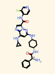 N[C@H](C(=O)N[C@H]1CC[C@H](Nc2cc(NC3CC3)c3ncc(C(=O)Nc4ccncc4F)n3n2)CC1)c1ccccc1